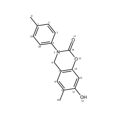 Cc1ccc(N2Cc3cc(C)c(O)cc3OC2=O)cc1